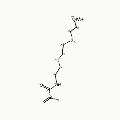 C=C(C)C(=O)NCCOCCOCCOC